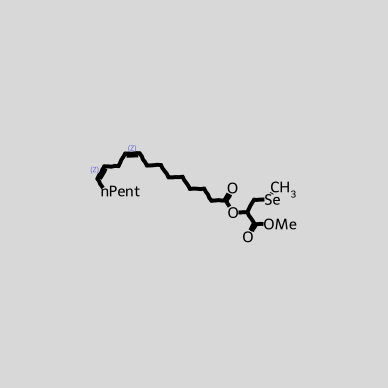 CCCCC/C=C\C/C=C\CCCCCCCC(=O)OC(C[Se]C)C(=O)OC